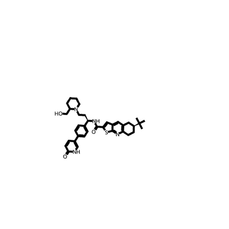 CC(C)(C)[C@H]1CCc2nc3sc(C(=O)N[C@H](CCN4CCCCC4CO)c4ccc(-c5ccc(=O)[nH]c5)cc4)cc3cc2C1